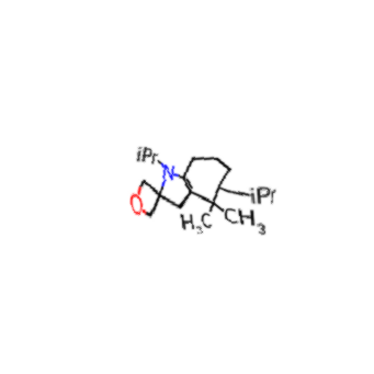 CC(C)C1CCCC2=C(CC3(COC3)N2C(C)C)C1(C)C